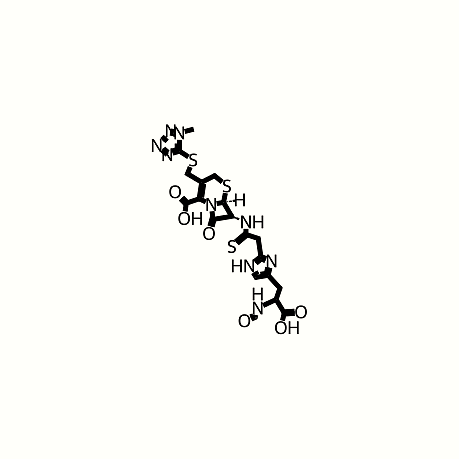 Cn1nnnc1SCC1=C(C(=O)O)N2C(=O)[C@@H](NC(=S)Cc3nc(CC(NC=O)C(=O)O)c[nH]3)[C@@H]2SC1